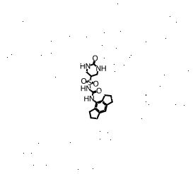 O=C1NCC(S(=O)(=O)NC(=O)Nc2c3c(cc4c2CCC4)CCC3)CN1